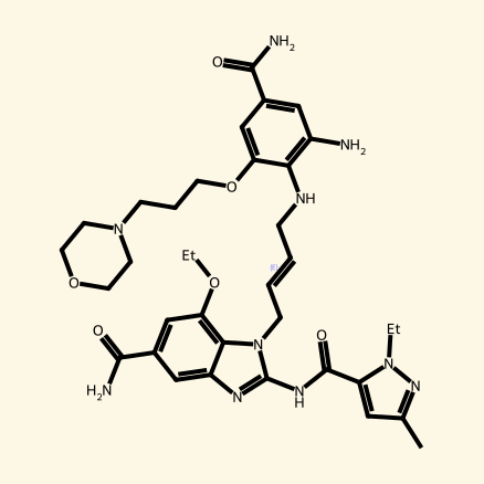 CCOc1cc(C(N)=O)cc2nc(NC(=O)c3cc(C)nn3CC)n(C/C=C/CNc3c(N)cc(C(N)=O)cc3OCCCN3CCOCC3)c12